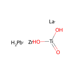 [La].[O]=[Ti]([OH])[OH].[PbH2].[Zr]